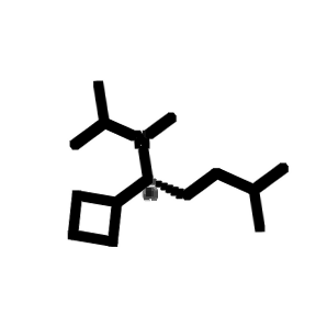 CC(C)CC[C@H](C1CCC1)N(C)C(C)C